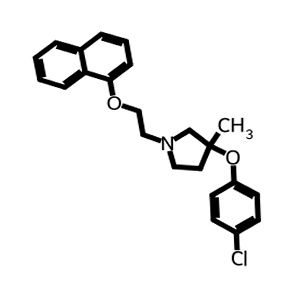 CC1(Oc2ccc(Cl)cc2)CCN(CCOc2cccc3ccccc23)C1